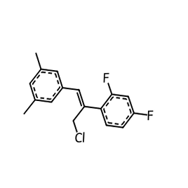 Cc1cc(C)cc(/C=C(\CCl)c2ccc(F)cc2F)c1